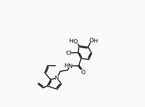 C=Cc1ccn(CCNC(=O)c2ccc(O)c(O)c2Cl)c1/C=C\C